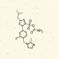 Cc1nccn1Cc1ccc(-c2cc(CC(C)C)sc2S(=O)(=O)OC(N)=O)cc1F